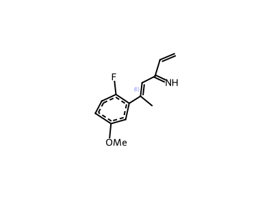 C=CC(=N)/C=C(\C)c1cc(OC)ccc1F